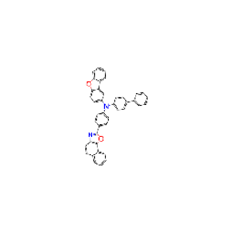 c1ccc(-c2ccc(N(c3ccc(-c4nc5ccc6ccccc6c5o4)cc3)c3ccc4oc5ccccc5c4c3)cc2)cc1